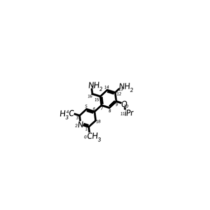 CC1=NC(C)C=C(c2cc(OC(C)C)c(N)cc2CN)C1